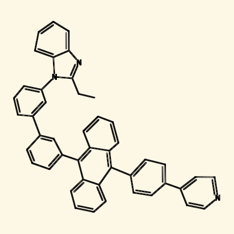 CCc1nc2ccccc2n1-c1cccc(-c2cccc(-c3c4ccccc4c(-c4ccc(-c5ccncc5)cc4)c4ccccc34)c2)c1